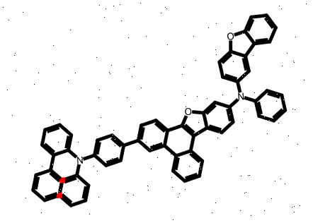 c1ccc(-c2ccccc2N(c2ccccc2)c2ccc(-c3ccc4c(c3)c3ccccc3c3c5ccc(N(c6ccccc6)c6ccc7oc8ccccc8c7c6)cc5oc43)cc2)cc1